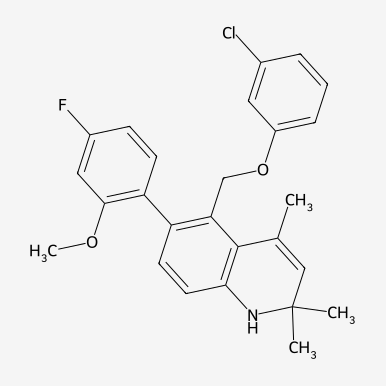 COc1cc(F)ccc1-c1ccc2c(c1COc1cccc(Cl)c1)C(C)=CC(C)(C)N2